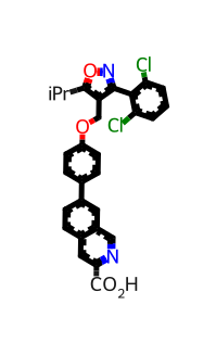 CC(C)c1onc(-c2c(Cl)cccc2Cl)c1COc1ccc(-c2ccc3cc(C(=O)O)ncc3c2)cc1